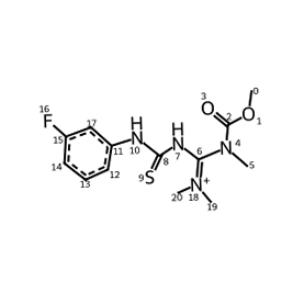 COC(=O)N(C)C(NC(=S)Nc1cccc(F)c1)=[N+](C)C